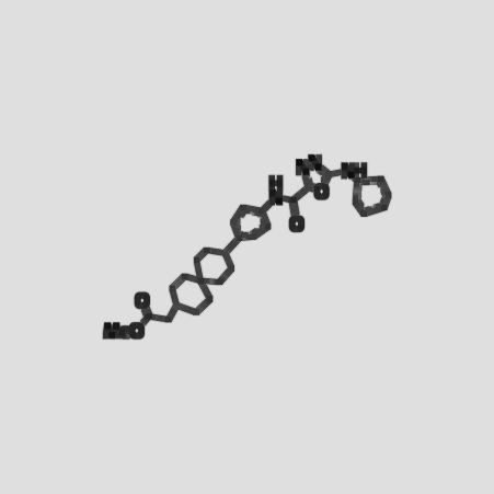 COC(=O)CC1CCC2(CC1)CCC(c1ccc(NC(=O)c3nnc(Nc4ccccc4)o3)cc1)CC2